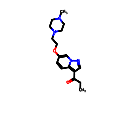 CCC(=O)c1cnn2cc(OCCN3CCN(C)CC3)ccc12